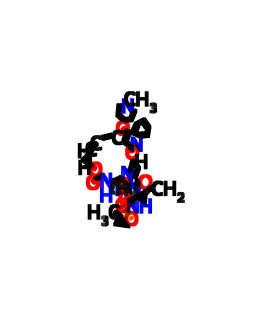 C=CC1C[C@]1(NC(=O)[C@@H]1C[C@@H]2CN1C(=O)[C@H](C(C)(C)C)NC(=O)O[C@@H]1C[C@H]1CCCCCc1c(nc3ccccc3c1OC1CCN(C)CC1)O2)C(=O)NS(=O)(=O)C1(C)CC1